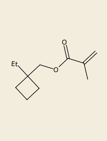 C=C(C)C(=O)OCC1(CC)CCC1